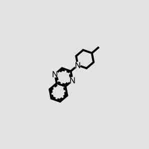 CC1CCN(c2cnc3ccccc3n2)CC1